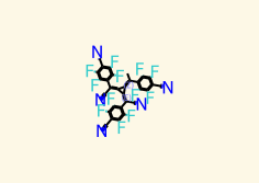 C/C(=C1\C(=C(C#N)c2c(F)c(F)c(C#N)c(F)c2F)\C1=C(\C#N)c1c(F)c(F)c(C#N)c(F)c1F)c1c(F)c(F)c(C#N)c(F)c1F